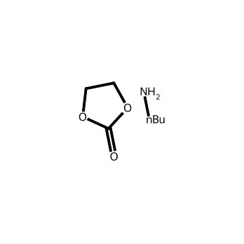 CCCCN.O=C1OCCO1